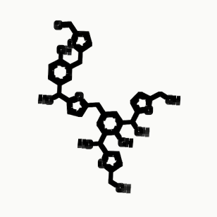 O=Cc1ccc(Cc2cc(C(O)c3ccc(Cc4cc(C(O)c5ccc(CO)o5)c(O)c(C(O)c5ccc(CO)o5)c4)o3)ccc2O)o1